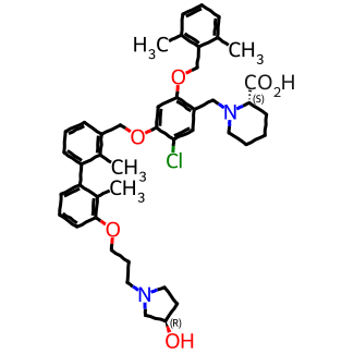 Cc1cccc(C)c1COc1cc(OCc2cccc(-c3cccc(OCCCN4CC[C@@H](O)C4)c3C)c2C)c(Cl)cc1CN1CCCC[C@H]1C(=O)O